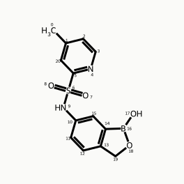 Cc1ccnc(S(=O)(=O)Nc2ccc3c(c2)B(O)OC3)c1